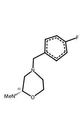 CN[C@@H]1CN(Cc2ccc(F)cc2)CCO1